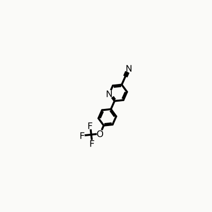 N#Cc1ccc(-c2ccc(OC(F)(F)F)cc2)nc1